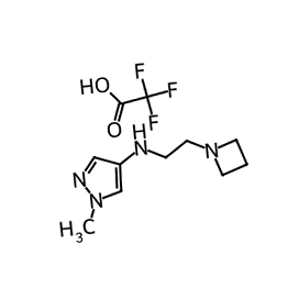 Cn1cc(NCCN2CCC2)cn1.O=C(O)C(F)(F)F